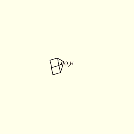 O=C(O)C12C3CC1CC2C3